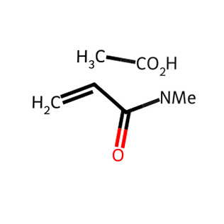 C=CC(=O)NC.CC(=O)O